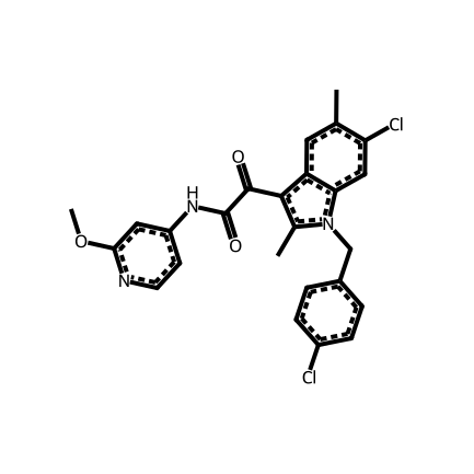 COc1cc(NC(=O)C(=O)c2c(C)n(Cc3ccc(Cl)cc3)c3cc(Cl)c(C)cc23)ccn1